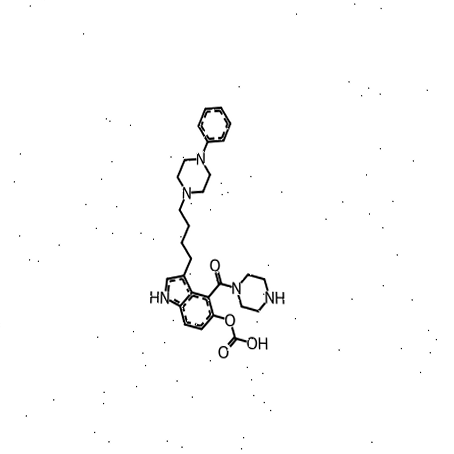 O=C(O)Oc1ccc2[nH]cc(CCCCN3CCN(c4ccccc4)CC3)c2c1C(=O)N1CCNCC1